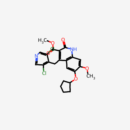 COC(=O)c1c(Cc2c(Cl)cncc2Cl)c2cc(OC3CCCC3)c(OC)cc2[nH]c1=O